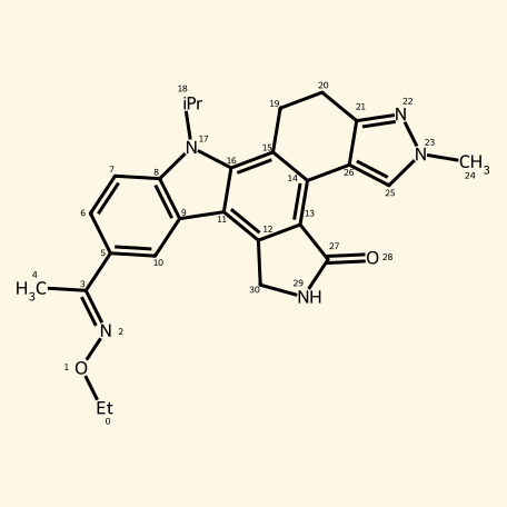 CCON=C(C)c1ccc2c(c1)c1c3c(c4c(c1n2C(C)C)CCc1nn(C)cc1-4)C(=O)NC3